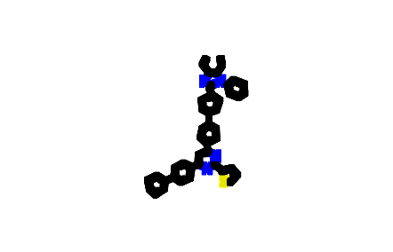 C=Cc1nc(-c2ccc(-c3ccc(-c4cc(-c5ccc(-c6ccccc6)cc5)nc(-c5cccs5)n4)cc3)cc2)n(-c2ccccc2)c1C=C